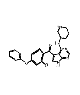 O=C(c1ccc(Oc2ccccc2)cc1Cl)c1c[nH]c2ncnc(N[C@@H]3CCCNC3)c12